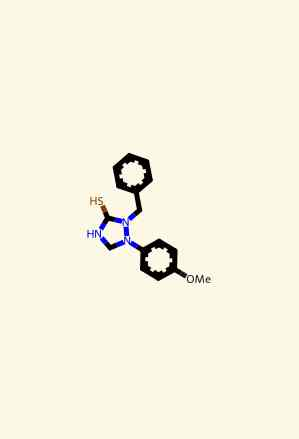 COc1ccc(N2CNC(S)N2Cc2ccccc2)cc1